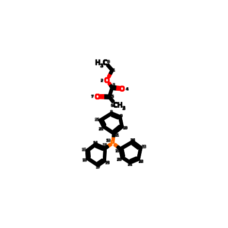 CCOC(=O)C(C)=O.c1ccc(P(c2ccccc2)c2ccccc2)cc1